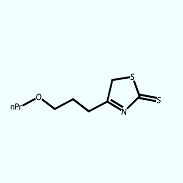 CCCOCCCC1=NC(=S)SC1